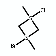 CS1(Cl)CS(C)(Br)C1